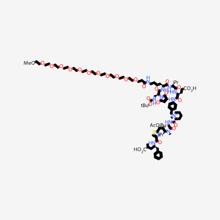 CC[C@H](C)[C@H](NC(=O)[C@H]1CCCC[N+]1(C)Cc1ccc(NC(=O)[C@H](CCC(=O)O)NC(=O)[C@@H](NC(=O)[C@H](CCCCNC(=O)CCOCCOCCOCCOCCOCCOCCOCCOCCOCCOCCOCCOC)NC(=O)[C@H](CNC(=O)OC(C)(C)C)N2C(=O)C=CC2=O)C(C)C)cc1)C(=O)N(C)[C@H](C[C@@H](OC(C)=O)c1nc(C(=O)N[C@@H](Cc2ccccc2)C[C@H](C)C(=O)O)cs1)C(C)C